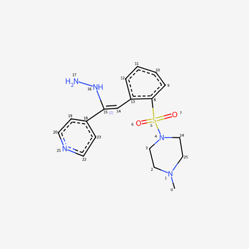 CN1CCN(S(=O)(=O)c2ccccc2/C=C(\NN)c2ccncc2)CC1